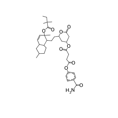 CCC(C)(C)C(=O)OC1(C)C=CC2CC(C)CCC2C1CCC1CC(OC(=O)CCC(=O)Oc2ccc(C(N)=O)cc2)CC(=O)O1